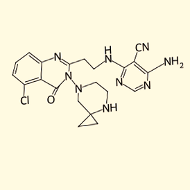 N#Cc1c(N)ncnc1NCCc1nc2cccc(Cl)c2c(=O)n1N1CCNC2(CC2)C1